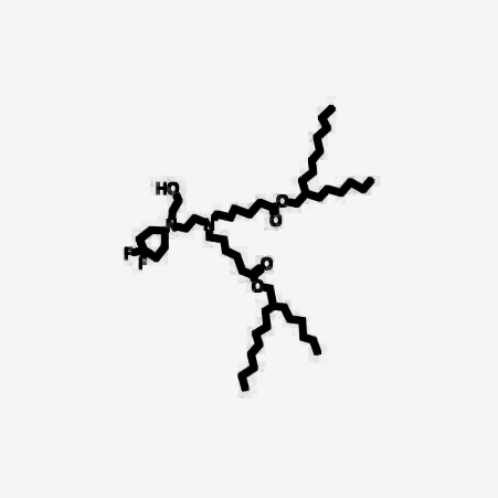 CCCCCCCCC(CCCCCC)COC(=O)CCCCCN(CCCCCC(=O)OCC(CCCCCC)CCCCCCCC)CCN(CCO)C1CCC(F)(F)CC1